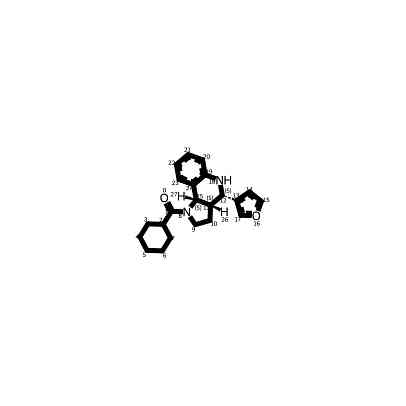 O=C(C1CCCCC1)N1CC[C@H]2[C@@H](c3ccoc3)Nc3ccccc3[C@H]21